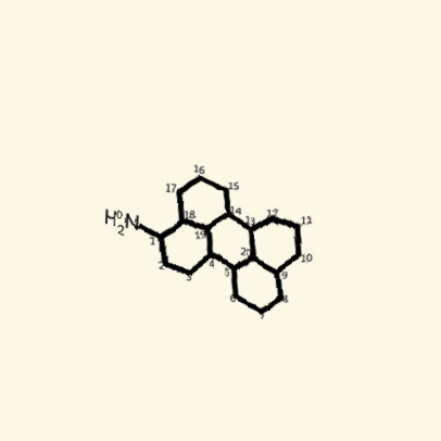 NC1CCC2C3CCCC4CCCC(C5CCCC1C52)C43